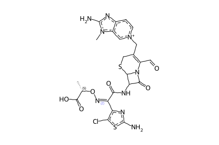 C[C@H](O/N=C(\C(=O)NC1C(=O)N2C(C=O)=C(C[n+]3ccc4nc(N)n(C)c4c3)CSC12)c1nc(N)sc1Cl)C(=O)O